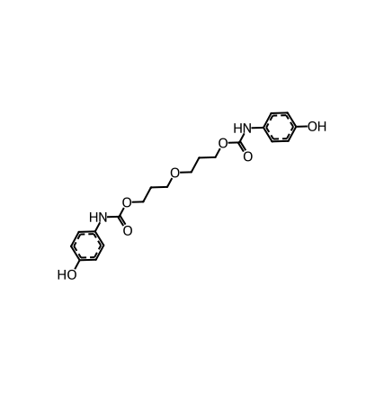 O=C(Nc1ccc(O)cc1)OCCCOCCCOC(=O)Nc1ccc(O)cc1